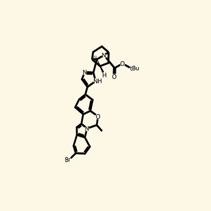 CC1Oc2cc(-c3cnc([C@@H]4C5CCC(CC5)N4C(=O)OC(C)(C)C)[nH]3)ccc2-c2cc3cc(Br)ccc3n21